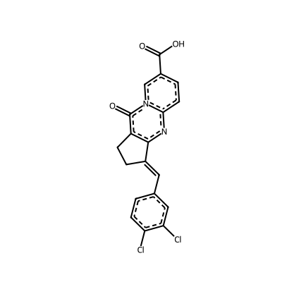 O=C(O)c1ccc2nc3c(c(=O)n2c1)CCC3=Cc1ccc(Cl)c(Cl)c1